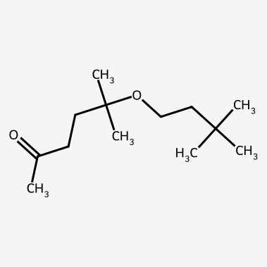 CC(=O)CCC(C)(C)OCCC(C)(C)C